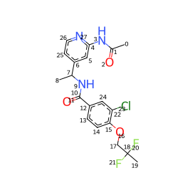 CC(=O)Nc1cc(C(C)NC(=O)c2ccc(OCC(C)(F)F)c(Cl)c2)ccn1